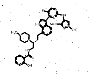 COc1nn(C)cc1Nc1ncc(F)c(-c2c[nH]c3c(CC[C@H](CNC(=O)c4ccccc4O)N4CCN(C)CC4)cccc23)n1